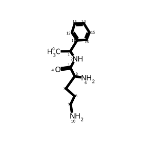 CC(NC(=O)C(N)CCCN)c1ccccc1